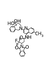 Cc1ccc2nc(N3CCS(O)(O)c4ccccc4C3)cc(NC(=O)CC(N3C(=O)c4ccccc4C3=O)C(F)(F)F)c2c1